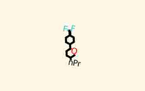 CCCC1CCC(C2CCC(=C(F)F)CC2)OC1